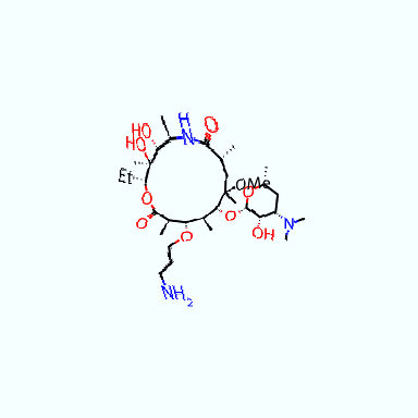 CC[C@H]1OC(=O)[C@H](C)[C@@H](OCCCN)[C@H](C)[C@@H](O[C@@H]2O[C@H](C)C[C@H](N(C)C)[C@@H]2O)[C@](C)(OC)C[C@@H](C)C(=O)N[C@H](C)[C@@H](O)[C@]1(C)O